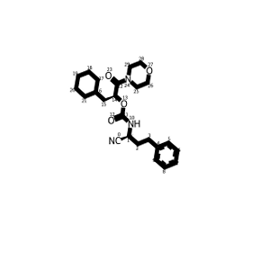 N#C[C@H](CCc1ccccc1)NC(=O)O[C@@H](CC1CCCCC1)C(=O)N1CCOCC1